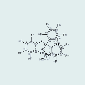 OB(O)OC(Cc1c(F)c(F)c(F)c(F)c1F)(c1c(F)c(F)c(F)c(F)c1F)c1c(F)c(F)c(F)c(F)c1F